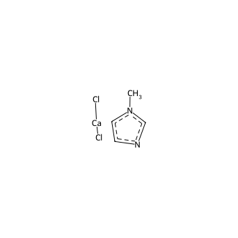 Cn1ccnc1.[Cl][Ca][Cl]